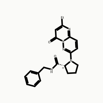 CCc1cc(=O)n2nc(N3CCC[C@@H]3C(=O)NCc3ccccc3)ccc2n1